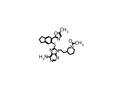 CC(=O)N1CCCC(CCn2c(Sc3cc4c(cc3-c3ncc(C)o3)CCC4)nc3c(N)ncnc32)C1